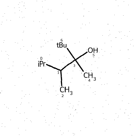 CC(C)C(C)C(C)(O)C(C)(C)C